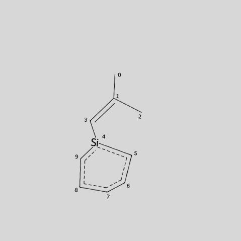 CC(C)=C[si]1ccccc1